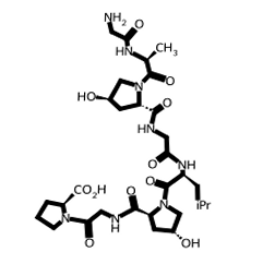 CC(C)C[C@H](NC(=O)CNC(=O)[C@@H]1C[C@@H](O)CN1C(=O)[C@H](C)NC(=O)CN)C(=O)N1C[C@H](O)C[C@H]1C(=O)NCC(=O)N1CCC[C@H]1C(=O)O